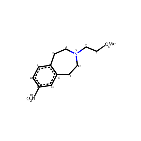 COCCN1CCc2ccc([N+](=O)[O-])cc2CC1